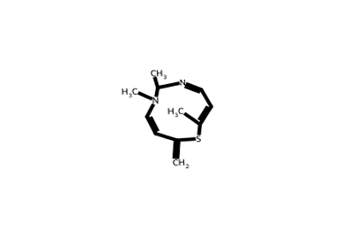 C=C1/C=C\N(C)C(C)/N=C\C=C(/C)S1